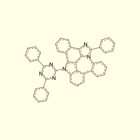 c1ccc(-c2nc(-c3ccccc3)nc(-n3c4cccc5c6ccccc6n6c(-c7ccccc7)nc7c8ccccc8c3c(c54)c76)n2)cc1